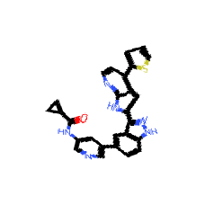 O=C(Nc1cncc(-c2ccc3[nH]nc(-c4cc5c(-c6cccs6)ccnc5[nH]4)c3c2)c1)C1CC1